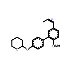 C/C=C\c1ccc(OC)c(-c2ccc(OC3CCCCO3)cc2)c1